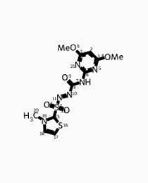 COc1cc(OC)nc(NC(=O)N=NS(=O)(=O)C2SC=CN2C)n1